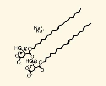 CCCCCCCCC=CCCCCCCCCOC(=O)C(CC(=O)[O-])S(=O)(=O)O.CCCCCCCCC=CCCCCCCCCOC(=O)C(CC(=O)[O-])S(=O)(=O)O.[Na+].[Na+]